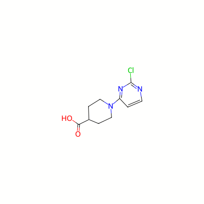 O=C(O)C1CCN(c2ccnc(Cl)n2)CC1